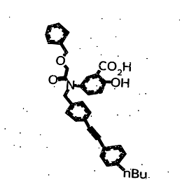 CCCCc1ccc(C#Cc2ccc(CN(C(=O)COCc3ccccc3)c3ccc(O)c(C(=O)O)c3)cc2)cc1